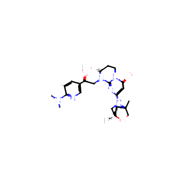 CN(C)c1ccc(C(=O)CN2c3nc(N4C[C@@H]5CC4(C)CO5)cc(=O)n3CC[C@H]2C(F)(F)F)cn1